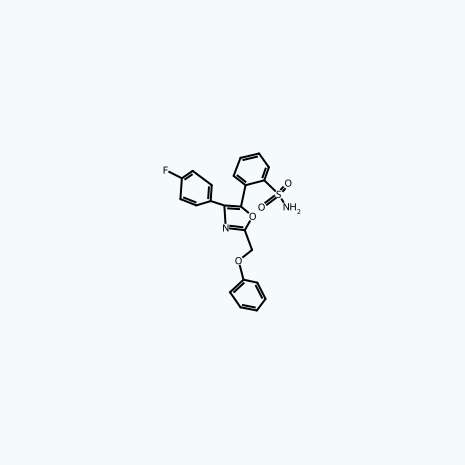 NS(=O)(=O)c1ccccc1-c1oc(COc2ccccc2)nc1-c1ccc(F)cc1